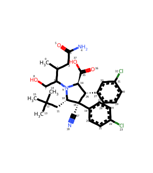 CC(CC(N)=O)C(CO)N1[C@@H](CC(C)(C)C)[C@](C#N)(c2ccc(Cl)cc2)[C@@H](c2cccc(Cl)c2)[C@@H]1C(=O)O